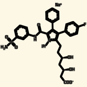 CC(C)n1c(CC[C@@H](O)C[C@@H](O)CC(=O)[O-])c(-c2ccc(F)cc2)c(-c2ccccc2)c1C(=O)Nc1cccc(S(N)(=O)=O)c1.[Na+]